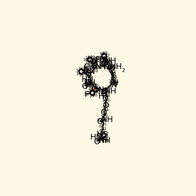 Cn1cc(C[C@@H]2NC(=O)[C@H](Cc3cn(C)c4ccccc34)NC(=O)[C@@H](CC(N)=O)NC(=O)[C@H](Cc3ccc(F)cc3)NC(=O)[C@@H](NC(=O)COCCOCCOCCNC(=O)CCCCC3SC[C@@H]4NC(=O)N[C@H]34)Cc3cn(nn3)CCCC[C@@H](C(N)=O)NC(=O)[C@@H](Cc3c[nH]c4ccccc34)NC2=O)c2ccccc21